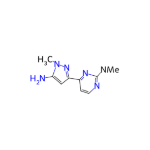 CNc1nccc(-c2cc(N)n(C)n2)n1